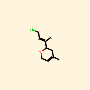 CC1=CCOC(C(C)=CCCl)C1